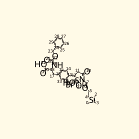 C[Si](C)(C)CCOCN1C(=O)CC(c2ccc(C[C@H](NC(=O)OCc3ccccc3)C(=O)O)cc2Br)S1(O)O